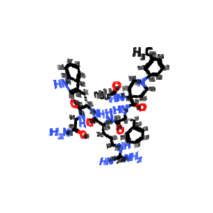 CCCCC(=O)NC1(C(=O)N[C@H](Cc2ccccc2)C(=O)N[C@@H](CCCNC(=N)N)C(=O)N[C@@H](Cc2c[nH]c3ccccc23)C(=O)NCC(N)=O)CCN(c2cccc(C)c2)CC1